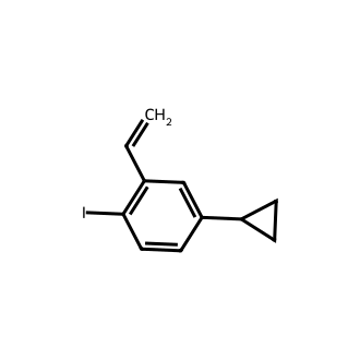 C=Cc1cc(C2CC2)ccc1I